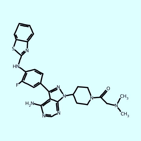 CN(C)CC(=O)N1CCC(n2nc(-c3ccc(Nc4nc5ccccc5s4)c(F)c3)c3c(N)ncnc32)CC1